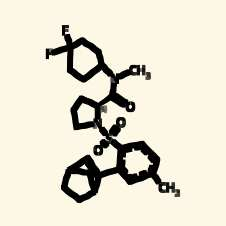 Cc1ccc(S(=O)(=O)N2CCC[C@H]2C(=O)N(C)C2CCC(F)(F)CC2)c(C2=CC3CCC2C3)c1